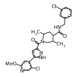 COc1cc(-c2cc(C(=O)N3CC(C)C(C(=O)NCc4cccc(Cl)c4)CC3C)n[nH]2)c(Cl)cn1